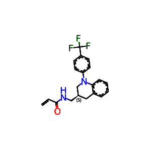 C=CC(=O)NC[C@@H]1Cc2ccccc2N(c2ccc(C(F)(F)F)cc2)C1